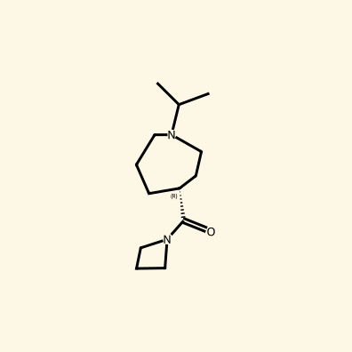 CC(C)N1CCC[C@@H](C(=O)N2CCC2)CC1